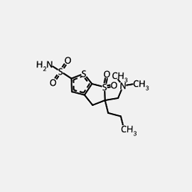 CCCC1(CN(C)C)Cc2cc(S(N)(=O)=O)sc2S1(=O)=O